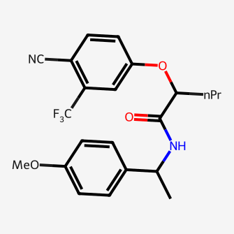 CCCC(Oc1ccc(C#N)c(C(F)(F)F)c1)C(=O)NC(C)c1ccc(OC)cc1